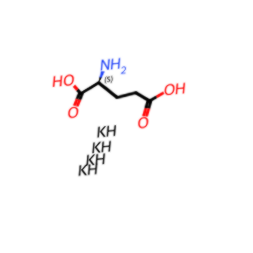 N[C@@H](CCC(=O)O)C(=O)O.[KH].[KH].[KH].[KH]